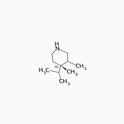 CC(C)[C@]1(C)CCNCC1C